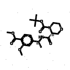 COC(=O)c1ccc([C@H](C)NC(=O)[C@H]2COCCN2C(=O)OC(C)(C)C)cc1OC